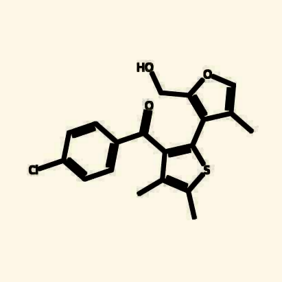 Cc1coc(CO)c1-c1sc(C)c(C)c1C(=O)c1ccc(Cl)cc1